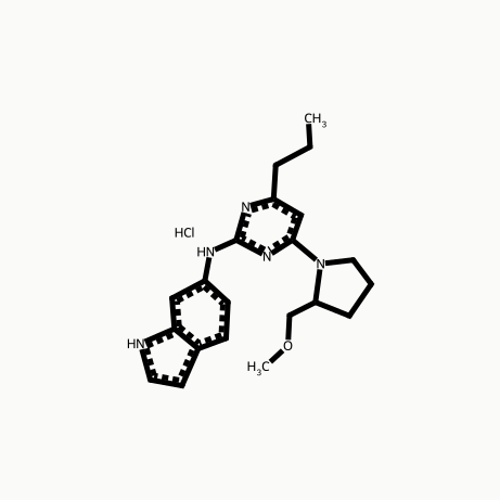 CCCc1cc(N2CCCC2COC)nc(Nc2ccc3cc[nH]c3c2)n1.Cl